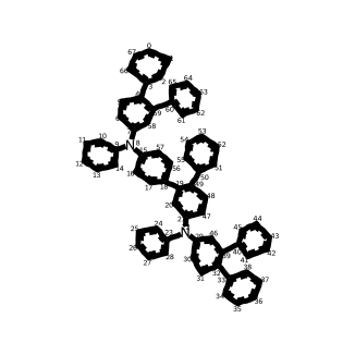 c1ccc(-c2ccc(N(c3ccccc3)c3ccc(-c4cc(N(c5ccccc5)c5ccc(-c6ccccc6)c(-c6ccccc6)c5)ccc4-c4ccccc4)cc3)cc2-c2ccccc2)cc1